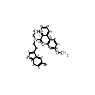 CCN(CCC1=CN=C2CC=C(F)C=C12)C(=O)c1ncccc1-c1ccc(OC)nc1